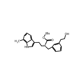 Cc1cccc2c(CCN(Cc3cccc(CCO)c3)C(=O)OC(C)(C)C)c[nH]c12